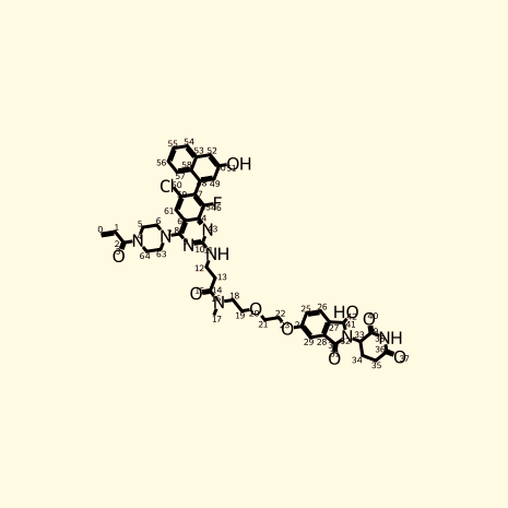 C=CC(=O)N1CCN(c2nc(NCCC(=O)N(C)CCOCCOc3ccc4c(c3)C(=O)N(C3CCC(=O)NC3=O)C4O)nc3c(F)c(-c4cc(O)cc5ccccc45)c(Cl)cc23)CC1